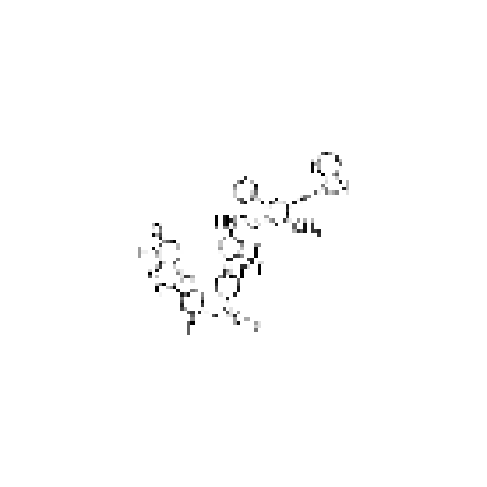 Cc1ccc(-c2ccccc2C(=O)Nc2ccc(N3CCC(N(C)Cc4cc5c(cc4F)C(=O)N(C4CCC(=O)NC4=O)C5)CC3)c(C(F)(F)F)c2)cc1C#Cc1cnc2cccnn12